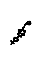 CC(C)(C)c1ccc(-c2cc(NC(=O)CCCN3CCCC3)[nH]n2)cc1